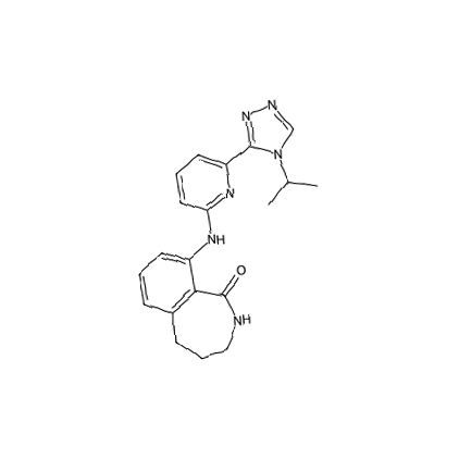 CC(C)n1cnnc1-c1cccc(Nc2cccc3c2C(=O)NCCC3)n1